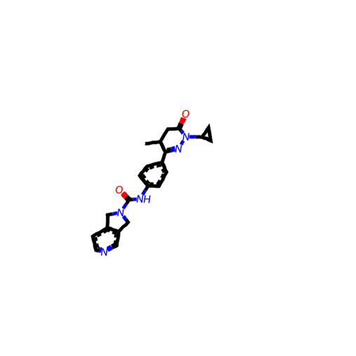 CC1CC(=O)N(C2CC2)N=C1c1ccc(NC(=O)N2Cc3ccncc3C2)cc1